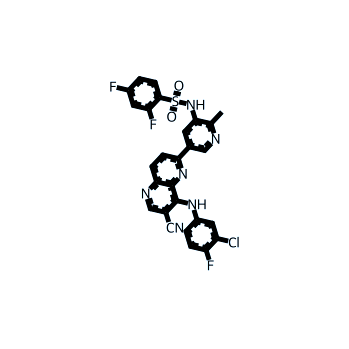 Cc1ncc(-c2ccc3ncc(C#N)c(Nc4ccc(F)c(Cl)c4)c3n2)cc1NS(=O)(=O)c1ccc(F)cc1F